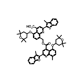 Cc1c(-c2cc(C(=O)OCc3ccc(OC4CC(C)(C)OC(C)(C)C4)c4c(C(=O)O)cc(-c5sc6ccccc6c5C)nc34)c3c(OC4CC(C)(C)OC(C)(C)C4)ccc(C)c3n2)oc2ccccc12